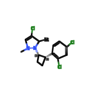 CCC1C(Cl)=CN(C)N1[C@H]1CC[C@H]1c1ccc(Cl)cc1Cl